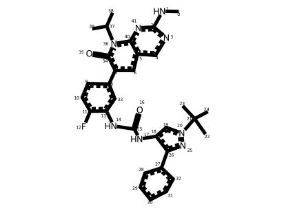 CNc1ncc2cc(-c3ccc(F)c(NC(=O)Nc4cn(C(C)(C)C)nc4-c4ccccc4)c3)c(=O)n(C(C)C)c2n1